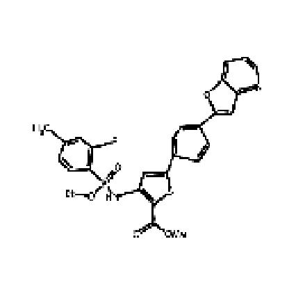 CCOP(=O)(Nc1cc(-c2ccc(-c3cc4ncccc4o3)cc2)sc1C(=O)OC)c1ccc(C)cc1F